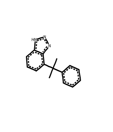 CC(C)(c1ccccc1)c1cccc2[nH]nnc12